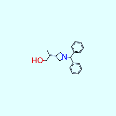 CC(CO)=C1CN(C(c2ccccc2)c2ccccc2)C1